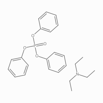 CCN(CC)CC.O=P(Oc1ccccc1)(Oc1ccccc1)Oc1ccccc1